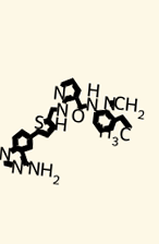 C=Nc1c(/C=C\C)cccc1NC(=O)c1cccnc1NCc1ccc(-c2ccc3ncnc(N)c3c2)s1